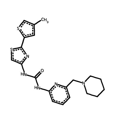 Cc1csc(-c2nc(NC(=O)Nc3cccc(CN4CCCCC4)n3)cs2)c1